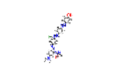 CCN(CC)c1ccc(N=Nc2ccc(N=Nc3ccc(N=Nc4ccc(O)cc4)cc3)c(F)c2)c(NC(C)=O)c1